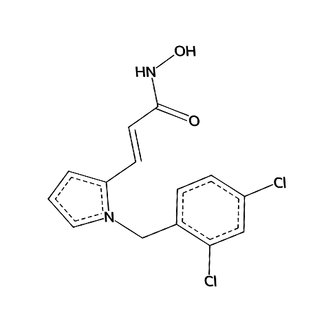 O=C(/C=C/c1cccn1Cc1ccc(Cl)cc1Cl)NO